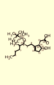 CCCCC(C)[C@H](CCC1=CC[C@H](O)[C@@H]1CC(=O)O)O[Si](C)(C)C(C)(C)C